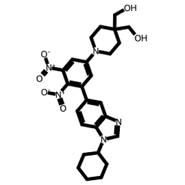 O=[N+]([O-])c1cc(N2CCC(CO)(CO)CC2)cc(-c2ccc3c(c2)ncn3C2CCCCC2)c1[N+](=O)[O-]